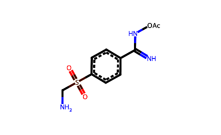 CC(=O)ONC(=N)c1ccc(S(=O)(=O)CN)cc1